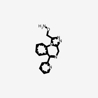 NOCc1nnc2n1-c1ccccc1C(c1ccccn1)=NC2